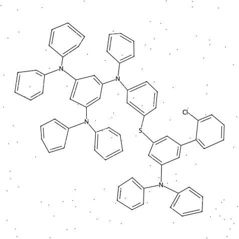 Clc1ccccc1-c1cc(Sc2cccc(N(c3ccccc3)c3cc(N(c4ccccc4)c4ccccc4)cc(N(c4ccccc4)c4ccccc4)c3)c2)cc(N(c2ccccc2)c2ccccc2)c1